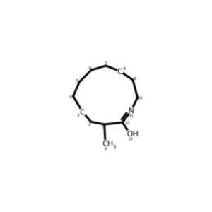 CC1CCCCCCCCC/N=C\1O